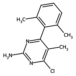 Cc1cccc(C)c1-c1nc(N)nc(Cl)c1C